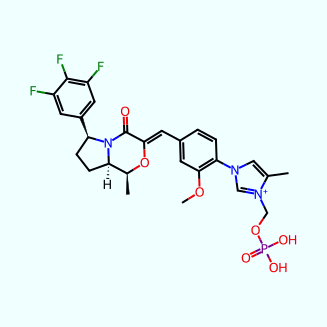 COc1cc(/C=C2\O[C@@H](C)[C@H]3CC[C@@H](c4cc(F)c(F)c(F)c4)N3C2=O)ccc1-n1cc(C)[n+](COP(=O)(O)O)c1